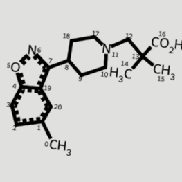 Cc1ccc2onc(C3CCN(CC(C)(C)C(=O)O)CC3)c2c1